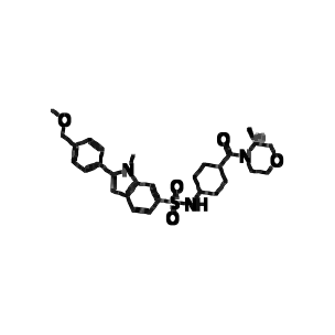 COCc1ccc(-c2cc3ccc(S(=O)(=O)NC4CCC(C(=O)N5CCOC[C@@H]5C)CC4)cc3n2C)cc1